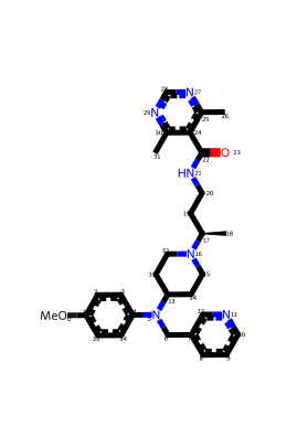 COc1ccc(N(Cc2cccnc2)C2CCN([C@H](C)CCNC(=O)c3c(C)ncnc3C)CC2)cc1